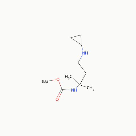 CC(C)(CCNC1CC1)NC(=O)OC(C)(C)C